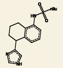 CCCCS(=O)(=O)Nc1cccc2c1CCCC2c1c[nH]cn1